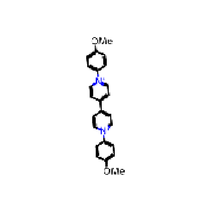 COc1ccc(-[n+]2ccc(-c3cc[n+](-c4ccc(OC)cc4)cc3)cc2)cc1